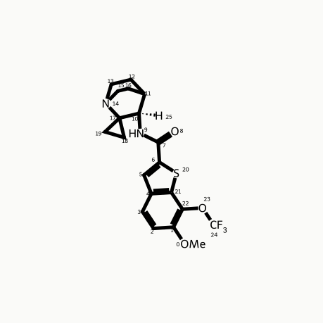 COc1ccc2cc(C(=O)N[C@@H]3C4CCN(CC4)C34CC4)sc2c1OC(F)(F)F